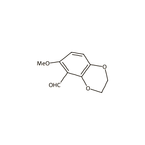 COc1ccc2c(c1C=O)OCCO2